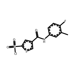 Cc1cc(NC(=O)c2csc(S(=O)(=O)Cl)c2)ccc1F